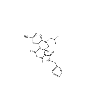 CC(C)CN1C[C@H]2N(C(=O)CN(C)N2C(=O)NCc2ccccc2)[C@@H](CC(=O)O)C1=O